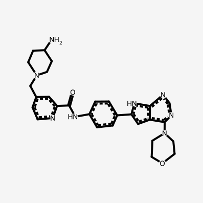 NC1CCN(Cc2ccnc(C(=O)Nc3ccc(-c4cc5c(N6CCOCC6)ncnc5[nH]4)cc3)c2)CC1